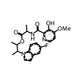 COc1ccnc(C(=O)NC(C)C(=O)OC(C)C(C)n2ccc3cc(F)ccc32)c1O